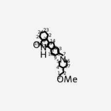 COCCC1CCN(Cc2ccc3c(c2)Cc2c-3[nH]c(=O)c3c2CCCC3)CC1